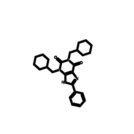 O=c1c2nc(-c3ccccc3)[nH]c2n(CC2CCCCC2)c(=O)n1CC1CCCCC1